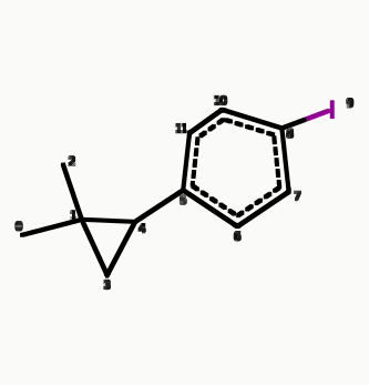 CC1(C)CC1c1ccc(I)cc1